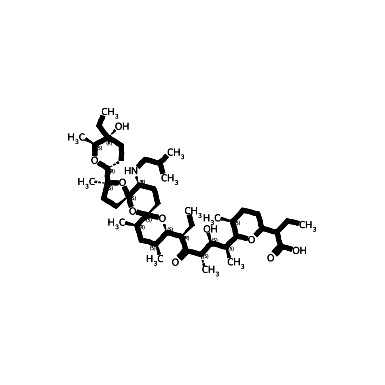 CCC(C(=O)O)C1CC[C@H](C)C([C@@H](C)[C@H](O)[C@H](C)C(=O)[C@H](CC)[C@H]2O[C@]3(CC[C@@H](NCC(C)C)[C@]4(CC[C@@](C)([C@H]5CC[C@](O)(CC)[C@H](C)O5)O4)O3)[C@H](C)C[C@@H]2C)O1